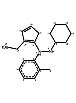 Cc1ccccc1[SiH](NC1CCCCC1)C1=C(CC(C)(C)C)C=CC1